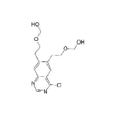 OCOCCc1cc2ncnc(Cl)c2cc1CCOCO